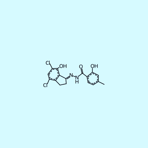 Cc1ccc(C(=O)N/N=C2\CCc3c(Cl)cc(Cl)c(O)c32)c(O)c1